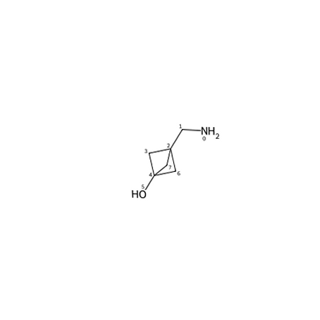 NCC12CC(O)(C1)C2